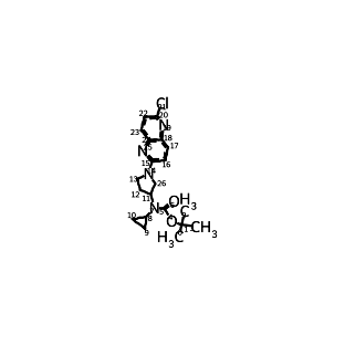 CC(C)(C)OC(=O)N(C1CC1)C1CCN(c2ccc3nc(Cl)ccc3n2)C1